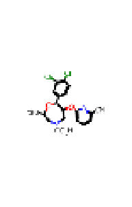 CC(C)(C)C1CN(C(=O)O)CC(Oc2cccc(C#N)n2)C(c2ccc(Cl)c(Cl)c2)O1